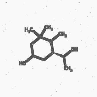 CC(O)[C@@H]1CC(O)CC(C)(C)N1C